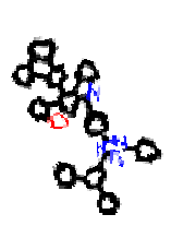 c1ccc(-c2cc(-c3ccccc3)cc(-c3nc(-c4ccccc4)nc(-c4ccc(-c5nc6ccccc6c6c(-c7ccc8c9ccccc9c9ccccc9c8c7)c7c(cc56)oc5ccccc57)cc4)n3)c2)cc1